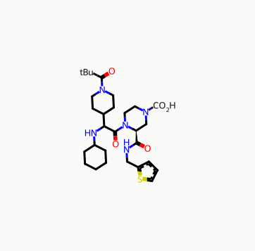 CC(C)(C)C(=O)N1CCC(C(NC2CCCCC2)C(=O)N2CCN(C(=O)O)C[C@H]2C(=O)NCc2cccs2)CC1